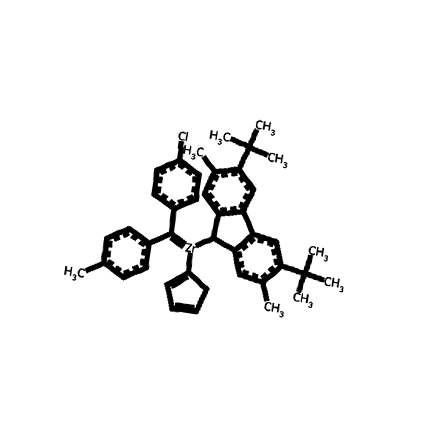 Cc1ccc([C](c2ccc(Cl)cc2)=[Zr]([C]2=CC=CC2)[CH]2c3cc(C)c(C(C)(C)C)cc3-c3cc(C(C)(C)C)c(C)cc32)cc1